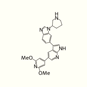 COc1cc(-c2cnc3[nH]cc(-c4ccc5ncn(C6CCCNC6)c5c4)c3c2)cc(OC)n1